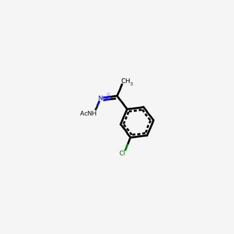 CC(=O)N/N=C(/C)c1cccc(Cl)c1